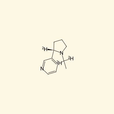 [2H]C([2H])(C)N1CCC[C@@]1([2H])c1cccnc1